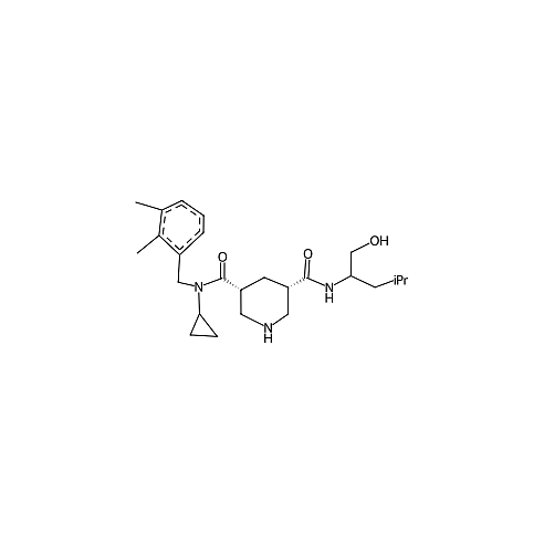 Cc1cccc(CN(C(=O)[C@H]2CNC[C@@H](C(=O)NC(CO)CC(C)C)C2)C2CC2)c1C